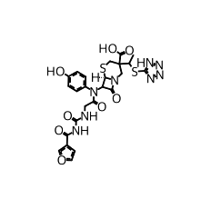 CC(Sc1nnn[nH]1)C1(C(=O)O)CS[C@@H]2C(N(C(=O)CNC(=O)NC(=O)c3ccoc3)c3ccc(O)cc3)C(=O)N2C1